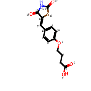 O=C(O)CCCOc1ccc(/C=C2\SC(=O)NC2=O)cc1